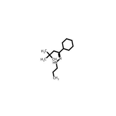 CCCNN=C(CC(C)(C)C)C1CCCCC1